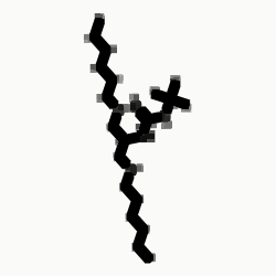 CCCCCCOCC(COCCCCCC)NC(=O)OC(C)(C)C